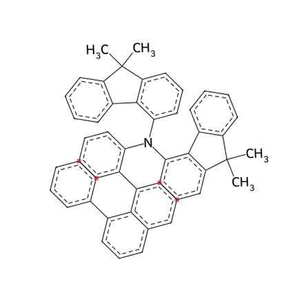 CC1(C)c2ccccc2-c2c(N(c3ccccc3-c3cccc4cccc(-c5ccccc5)c34)c3cccc4c3-c3ccccc3C4(C)C)cccc21